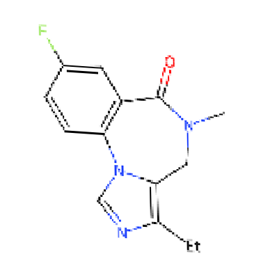 [CH2]Cc1ncn2c1CN(C)C(=O)c1cc(F)ccc1-2